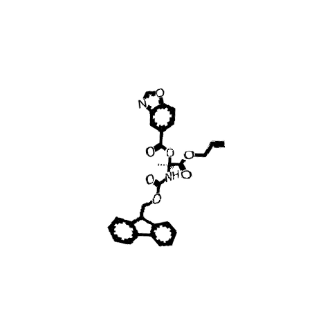 C=CCOC(=O)[C@@](C)(NC(=O)OCC1c2ccccc2-c2ccccc21)OC(=O)c1ccc2ocnc2c1